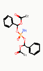 CCC(=O)OC(OP([NH])(=O)OC(OC(=O)CC)c1ccccc1)c1ccccc1